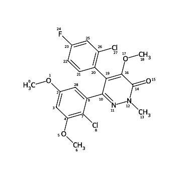 COc1cc(OC)c(Cl)c(-c2nn(C)c(=O)c(OC)c2-c2ccc(F)cc2Cl)c1